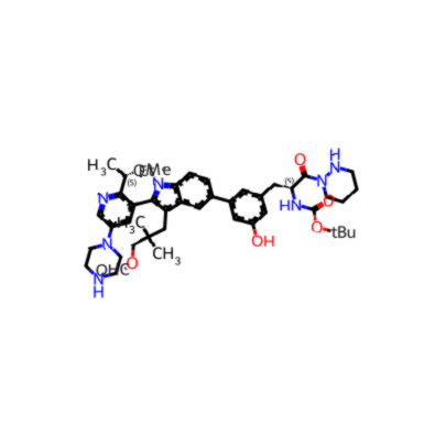 CCn1c(-c2cc(N3CCNCC3)cnc2[C@H](C)OC)c(CC(C)(C)COC=O)c2cc(-c3cc(O)cc(C[C@H](NC(=O)OC(C)(C)C)C(=O)N4CCCCN4)c3)ccc21